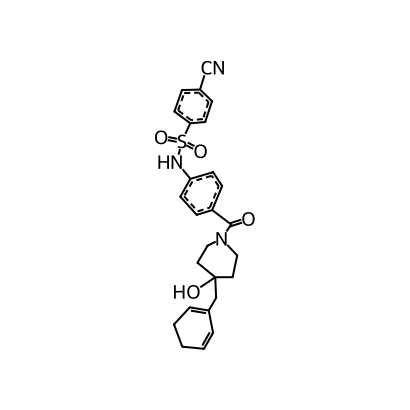 N#Cc1ccc(S(=O)(=O)Nc2ccc(C(=O)N3CCC(O)(CC4=CCCC=C4)CC3)cc2)cc1